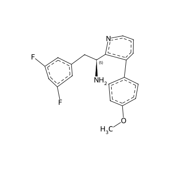 COc1ccc(-c2cccnc2[C@@H](N)Cc2cc(F)cc(F)c2)cc1